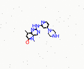 Cc1cc(=O)n(C)c2cnc(Nc3cc(N4CCNCC4)ccn3)nc12